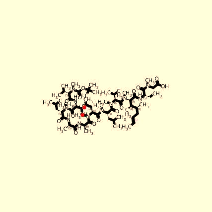 C/C=C/C[C@@H](C)[C@@H](C)[C@@H](C(=O)N[C@@H](CC)C(=O)N(C)CC(=O)O)N(C)C(=O)[C@H](C(C)C)N(C)C(=O)[C@H](CC(C)C)N(C)C(=O)[C@H](CC(C)C)N(C)C(=O)[C@@H](C)NC(=O)[C@H](C)NC(=O)[C@H](CC(C)C)N(C)C(=O)[C@@H](NC(=O)[C@H](C(C)C)N(C)C(=O)OC(C)(C)C)C(C)C